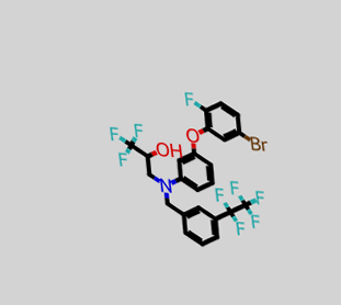 OC(CN(Cc1cccc(C(F)(F)C(F)(F)F)c1)c1cccc(Oc2cc(Br)ccc2F)c1)C(F)(F)F